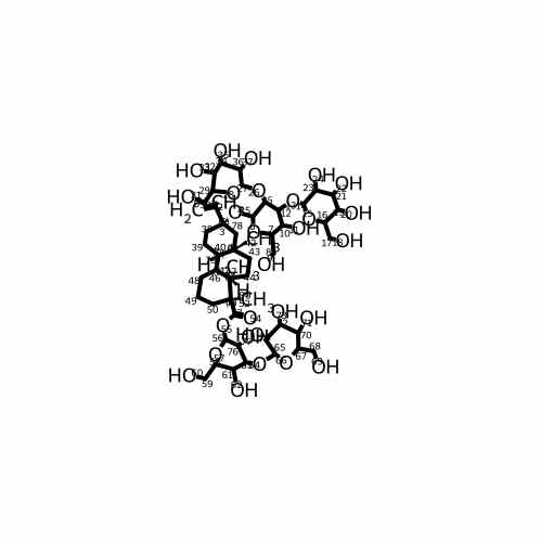 C=C(C)[C@]1(OC2OC(CO)C(O)C(OC3OC(CO)C(O)C(O)C3O)C2OC2OC(CO)C(O)C(O)C2O)CC[C@@H]2[C@@](C)(CC[C@H]3[C@@]2(C)CCC[C@@]3(C)C(=O)OC2OC(CO)C(O)C(OC3OC(CO)C(O)C(O)C3O)C2O)C1